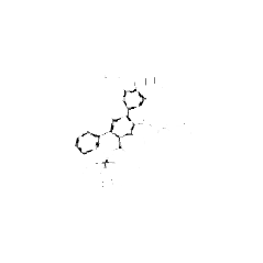 CSNc1c(C)c(C(C)OC(C)(C)C)c(-c2ccccc2)c(C)c1-c1ccc(C)c(C)c1